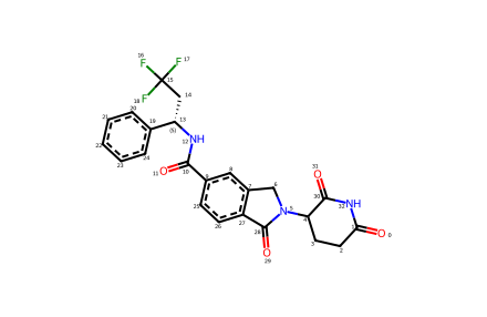 O=C1CCC(N2Cc3cc(C(=O)N[C@@H](CC(F)(F)F)c4ccccc4)ccc3C2=O)C(=O)N1